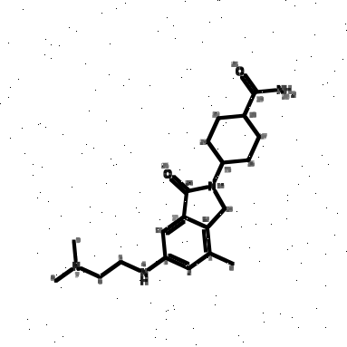 Cc1cc(NCCN(C)C)cc2c1CN(C1CCC(C(N)=O)CC1)C2=O